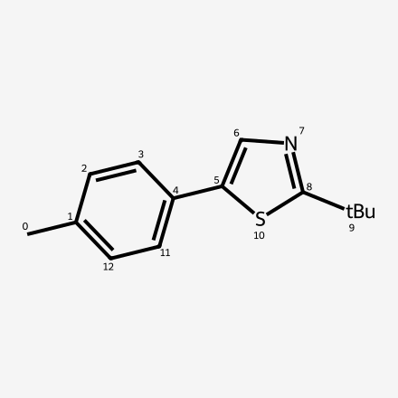 Cc1ccc(-c2cnc(C(C)(C)C)s2)cc1